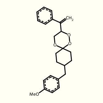 C=C(c1ccccc1)C1COC2(CCC(Cc3ccc(OC)cc3)CC2)OO1